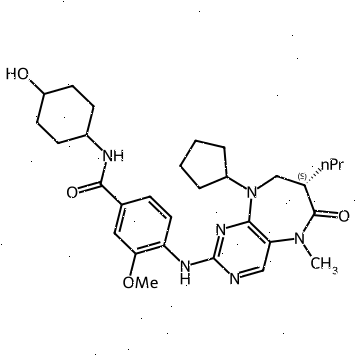 CCC[C@H]1CN(C2CCCC2)c2nc(Nc3ccc(C(=O)NC4CCC(O)CC4)cc3OC)ncc2N(C)C1=O